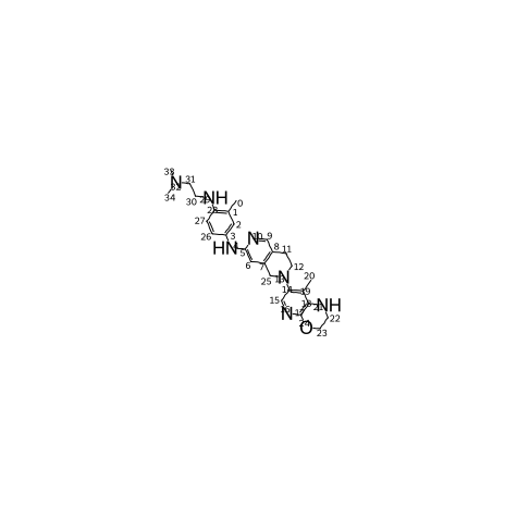 Cc1cc(Nc2cc3c(cn2)CCN(c2cnc4c(c2C)NCCO4)C3)ccc1NCCN(C)C